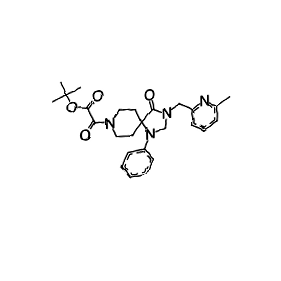 Cc1cccc(CN2CN(c3ccccc3)C3(CCN(C(=O)C(=O)OC(C)(C)C)CC3)C2=O)n1